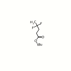 CC(F)(F)CCC(=O)OC(C)(C)C